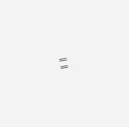 [O]=[Hf].[O]=[Nd]